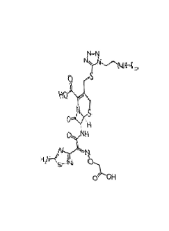 NCCn1nnnc1SCC1=C(C(=O)O)N2C(=O)C(NC(=O)C(=NOCC(=O)O)c3nsc(N)n3)[C@@H]2SC1